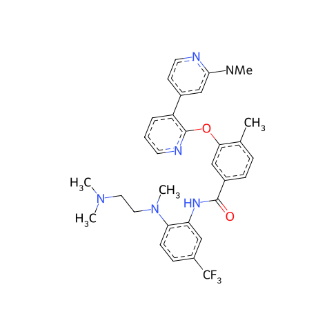 CNc1cc(-c2cccnc2Oc2cc(C(=O)Nc3cc(C(F)(F)F)ccc3N(C)CCN(C)C)ccc2C)ccn1